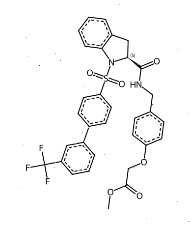 COC(=O)COc1ccc(CNC(=O)[C@@H]2Cc3ccccc3N2S(=O)(=O)c2ccc(-c3cccc(C(F)(F)F)c3)cc2)cc1